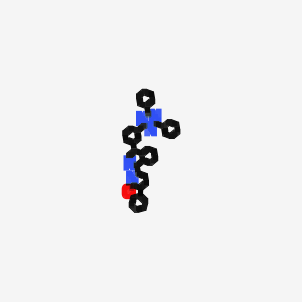 c1ccc(-c2nc(-c3ccccc3)nc(-c3cccc(-c4cnc(-c5ccc6c(n5)oc5ccccc56)c5ccccc45)c3)n2)cc1